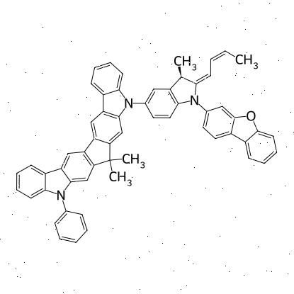 C/C=C\C=C1/[C@H](C)c2cc(-n3c4ccccc4c4cc5c(cc43)C(C)(C)c3cc4c(cc3-5)c3ccccc3n4-c3ccccc3)ccc2N1c1ccc2c(c1)oc1ccccc12